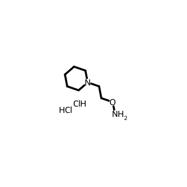 Cl.Cl.NOCCN1CCCCC1